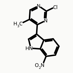 Cc1cnc(Cl)nc1-c1c[nH]c2c([N+](=O)[O-])cccc12